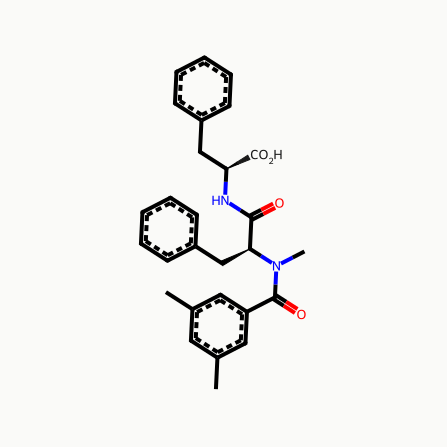 Cc1cc(C)cc(C(=O)N(C)[C@@H](Cc2ccccc2)C(=O)N[C@@H](Cc2ccccc2)C(=O)O)c1